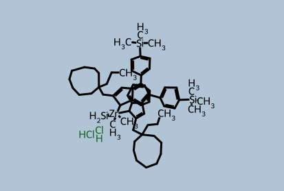 CCCC1(CC2=Cc3c(-c4ccc([Si](C)(C)C)cc4)cccc3[CH]2[Zr]([CH3])([CH3])(=[SiH2])[CH]2C(CC3(CCC)CCCCCCCC3)=Cc3c(-c4ccc([Si](C)(C)C)cc4)cccc32)CCCCCCCC1.Cl.Cl